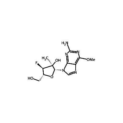 COc1nc(N)nc2c1ncn2[C@@H]1O[C@H](CO)[C@@H](F)[C@@]1(C)O